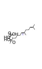 CC(C)=CCC/C(C)=C/CCCC(P(C)(=O)O)P(=O)(O)O